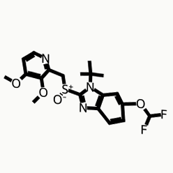 COc1ccnc(C[S+]([O-])c2nc3ccc(OC(F)F)cc3n2C(C)(C)C)c1OC